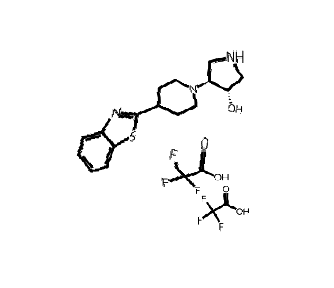 O=C(O)C(F)(F)F.O=C(O)C(F)(F)F.O[C@H]1CNC[C@@H]1N1CCC(c2nc3ccccc3s2)CC1